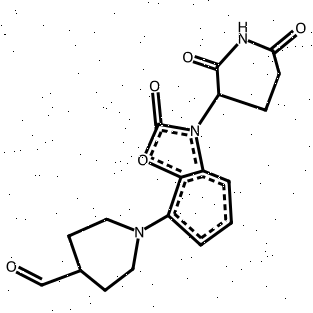 O=CC1CCN(c2cccc3c2oc(=O)n3C2CCC(=O)NC2=O)CC1